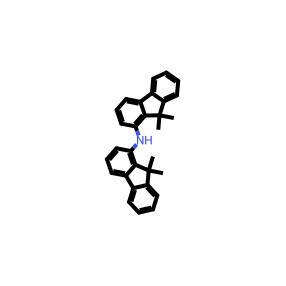 CC1(C)c2ccccc2-c2cccc(Nc3cccc4c3C(C)(C)c3ccccc3-4)c21